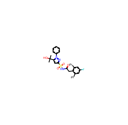 CC(C)c1cc(F)cc(C(C)C)c1CC(=O)NS(=O)(=O)c1cc(C(C)(C)O)n(-c2ccccc2)n1